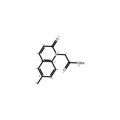 COC(=O)Cn1c(=O)ccc2cc(C)ccc21